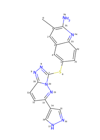 Cc1cc2cc(Sc3nnc4ccc(-c5cn[nH]c5)nn34)ccc2nc1N